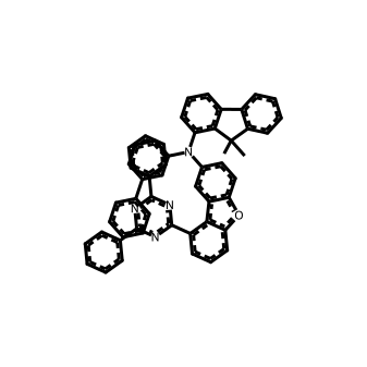 CC1(C)c2ccccc2-c2cccc(N(c3cccc(-c4ccccc4)c3)c3ccc4oc5cccc(-c6nc(-c7ccccc7)nc(-c7ccccc7)n6)c5c4c3)c21